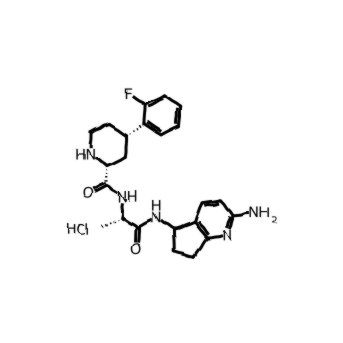 C[C@H](NC(=O)[C@H]1C[C@@H](c2ccccc2F)CCN1)C(=O)NC1CCc2nc(N)ccc21.Cl